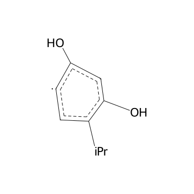 CC(C)c1c[c]c(O)cc1O